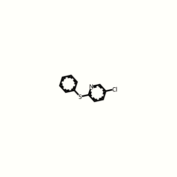 Clc1ccc(Sc2ccccc2)nc1